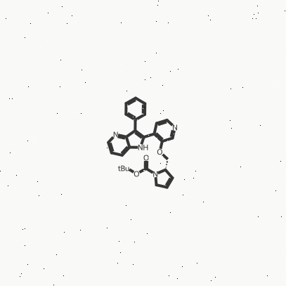 CC(C)(C)OC(=O)N1CC=C[C@H]1COc1cnccc1-c1[nH]c2cccnc2c1-c1ccccc1